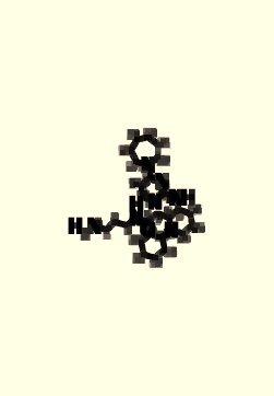 NCCCNC(=O)CC1C(Nc2nccc(N3CCCCCC3)n2)CCCN1C1CCCCC1